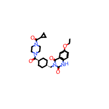 CCOc1ccc2[nH]c(=O)n(C[C@H]3CC[C@H](C(=O)N4CCN(C(=O)C5CC5)CC4)CC3)c(=O)c2c1